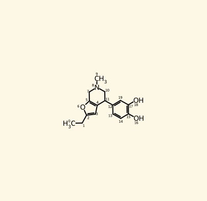 CCc1cc2c(o1)CN(C)CC2c1ccc(O)c(O)c1